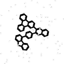 c1ccc2nc(-c3ccc4c5ccccc5c5ccccc5c4c3)c(-c3ccc(-c4cccc5sc6ccccc6c45)cc3)nc2c1